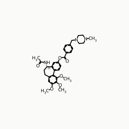 COc1cc2c(c(OC)c1OC)-c1ccc(OC(=O)c3ccc(CN4CCN(C)CC4)cc3)cc1[C@@H](NC(C)=O)CC2